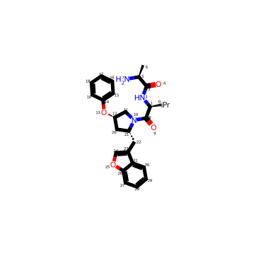 CC(C)[C@H](NC(=O)[C@H](C)N)C(=O)N1C[C@@H](Oc2ccccc2)C[C@H]1Cc1coc2ccccc12